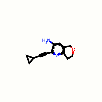 Nc1cc2c(nc1C#CC1CC1)CCOC2